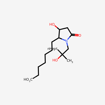 CCCCCCCC(C)(O)CN1C(=O)CC(O)C1CCCCCCC(=O)O